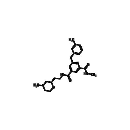 CNC(=O)c1cc(C(=O)NCC[C@@H]2CN(C)CCO2)cc(Cc2cccc(C)c2)n1